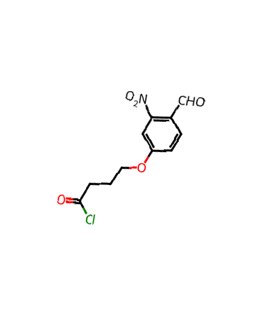 O=Cc1ccc(OCCCC(=O)Cl)cc1[N+](=O)[O-]